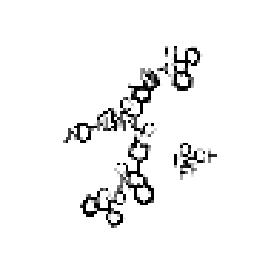 Cc1cc(C[C@@H](NC(=O)N2CCC(c3cc4ccccc4n(COC(=O)C4(c5ccccc5)CCCC4)c3=O)CC2)C(=O)N2CCN(C3CCN(C)CC3)CC2)cc2cn(COC(=O)C3(c4ccccc4)CCCC3)nc12.O=C(O)C(F)(F)F